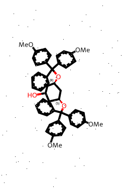 COc1ccc(C(O[C@@H]2CC(O)C[C@H](OC(c3ccccc3)(c3ccc(OC)cc3)c3ccc(OC)cc3)C2)(c2ccccc2)c2ccc(OC)cc2)cc1